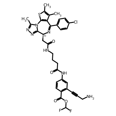 Cc1sc2c(c1C)C(c1ccc(Cl)cc1)=N[C@@H](CC(=O)NCCCC(=O)Nc1ccc(C(=O)OC(F)F)c(C#CCN)c1)c1nnc(C)n1-2